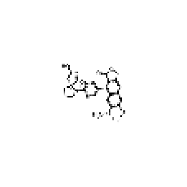 COc1cc2cc3c(c(-c4cnc(N5CCC[C@@]5(CCO)C(=O)O)nc4)c2cc1OC)C(=O)OC3